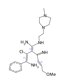 COC/C=C/C(=N)C(=C(/N)NCCN1CCN(C)CC1)/C(Cl)=C(\N)c1ccccc1